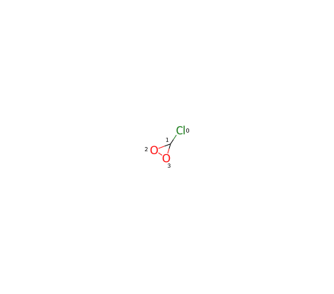 ClC1OO1